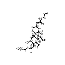 C[C@H](CCC(=O)O)[C@H]1CC[C@H]2[C@@H]3[C@H](O)C[C@@H]4C[C@H](OC(=O)NCCCl)CC[C@]4(C)[C@H]3C[C@H](O)[C@]12C